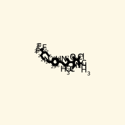 Cc1[nH]c(C)c(-c2c[nH]c(-c3ccc(CN4CCC(C(F)(F)F)CC4)cc3)cc2=O)c(=O)c1Cl